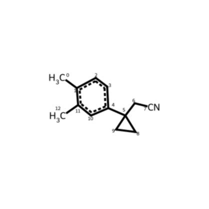 Cc1ccc(C2(CC#N)CC2)cc1C